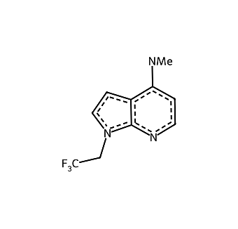 CNc1ccnc2c1ccn2CC(F)(F)F